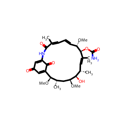 CO[C@H]1/C=C/C=C(\C)C(=O)NC2=CC(=O)C=C(C2=O)[C@H](OC)[C@@H](C)C[C@H](OC)[C@H](O)[C@@H](C)/C=C(\C)[C@@H]1OC(N)=O